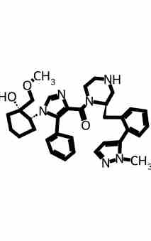 COC[C@]1(O)CCCC[C@H]1n1cnc(C(=O)N2CCNC[C@H]2Cc2ccccc2-c2ccnn2C)c1-c1ccccc1